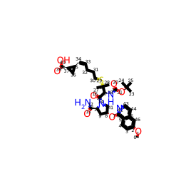 COc1ccc2c(O[C@@H]3C[C@@H](C(N)=O)N(C(=O)[C@@H](NC(=O)OC(C)(C)C)C(C)(C)SCCC/C=C\[C@@H]4C[C@@H]4C(=O)O)C3)nccc2c1